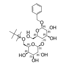 CC(C)(C)[Si](C)(C)OC[C@H]1O[C@@H](O[C@H]2[C@H](O)[C@@H](O)[C@H](OCc3ccccc3)O[C@@H]2CO)[C@H](O)[C@@H](O)[C@H]1O